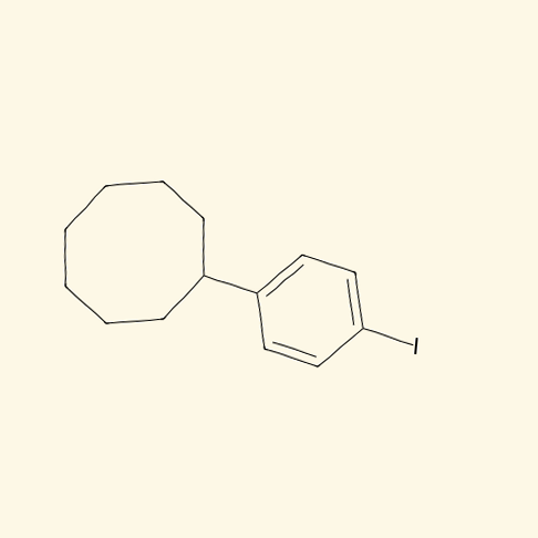 Ic1ccc(C2CCCCCCC2)cc1